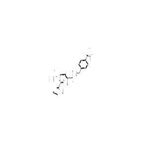 O=C(NCc1ccc(C(F)(F)F)cc1)c1cc(=O)[nH]c(-c2nccs2)n1